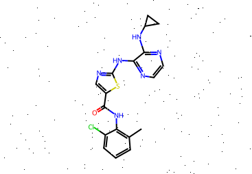 Cc1cccc(Cl)c1NC(=O)c1cnc(Nc2nccnc2NC2CC2)s1